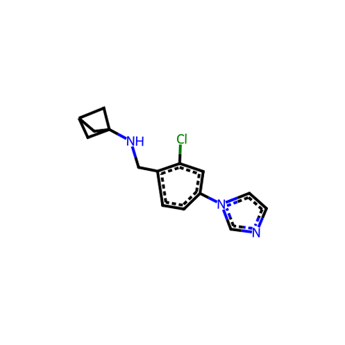 Clc1cc(-n2ccnc2)ccc1CNC12CC(C1)C2